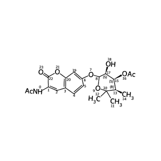 CC(=O)Nc1cc2ccc(OC3OC(C)(C)[C@H](C)[C@H](OC(C)=O)[C@@H]3O)cc2oc1=O